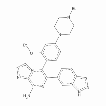 CCOc1cc(N2CCN(CC)CC2)ccc1-c1c(-c2ccc3cn[nH]c3c2)nc(N)c2nccn12